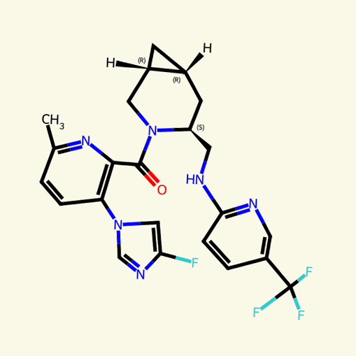 Cc1ccc(-n2cnc(F)c2)c(C(=O)N2C[C@@H]3C[C@@H]3C[C@H]2CNc2ccc(C(F)(F)F)cn2)n1